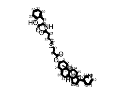 C[C@]12CC[C@H](OC(=O)CCSSCCC(=O)N[C@@H](Cc3ccccc3)C(=O)O)CC1=CC[C@@H]1[C@@H]2CC[C@]2(C)C(c3cccnc3)=CC[C@@H]12